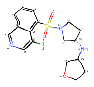 O=S(=O)(c1cccc2cncc(Cl)c12)N1CC[C@H](NC2CCOC2)C1